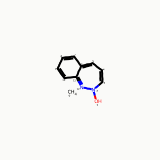 C.ON1C=CC=c2ccccc2=N1